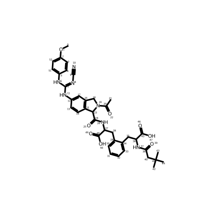 COc1ccc(NC(=NC#N)Nc2ccc3c(c2)CN(C(C)=O)C3C(=O)NC(Cc2ccccc2CC(NC(=O)CC(C)(C)C)C(=O)O)C(=O)O)cc1